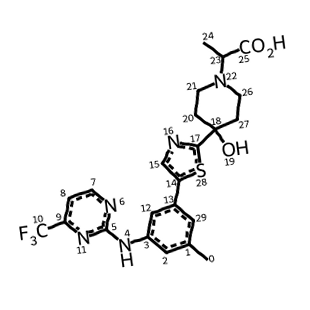 Cc1cc(Nc2nccc(C(F)(F)F)n2)cc(-c2cnc(C3(O)CCN(C(C)C(=O)O)CC3)s2)c1